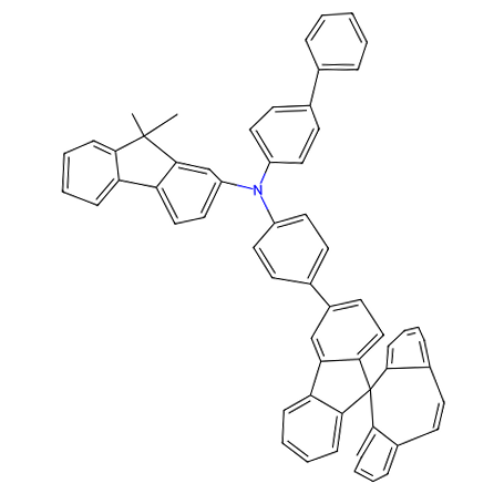 CC1(C)c2ccccc2-c2ccc(N(c3ccc(-c4ccccc4)cc3)c3ccc(-c4ccc5c(c4)-c4ccccc4C54c5ccccc5C=Cc5ccccc54)cc3)cc21